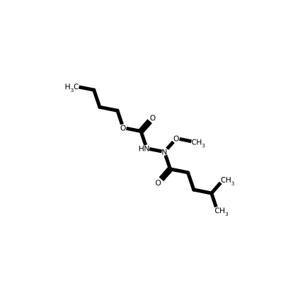 CCCCOC(=O)NN(OC)C(=O)CCC(C)C